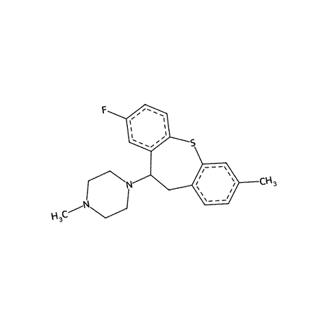 Cc1ccc2c(c1)Sc1ccc(F)cc1C(N1CCN(C)CC1)C2